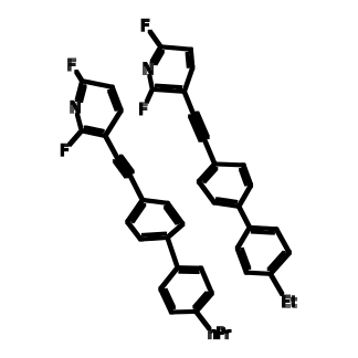 CCCc1ccc(-c2ccc(C#Cc3ccc(F)nc3F)cc2)cc1.CCc1ccc(-c2ccc(C#Cc3ccc(F)nc3F)cc2)cc1